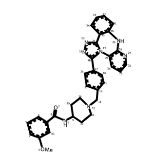 COc1cccc(C(=O)NC2CCN(Cc3ccc(-c4nnc5n4-c4cccnc4Nc4ccccc4-5)cc3)CC2)c1